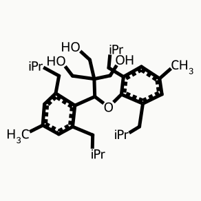 Cc1cc(CC(C)C)c(OC(c2c(CC(C)C)cc(C)cc2CC(C)C)C(CO)(CO)CO)c(CC(C)C)c1